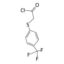 O=C(Cl)CSc1ccc(C(F)(F)F)cc1